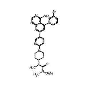 CON(C)C(=O)C(C)C1CCN(c2ccc(-c3cc(-c4cccc(Br)c4)c4c(N)ncnc4n3)cn2)CC1